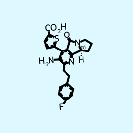 Nc1c(CCc2ccc(F)cc2)nc2c(c1-c1ccc(C(=O)O)s1)C(=O)N1CCC[C@@H]21